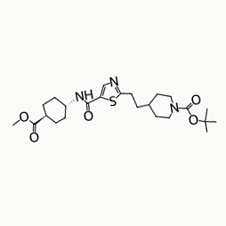 COC(=O)[C@H]1CC[C@H](NC(=O)c2cnc(CCC3CCN(C(=O)OC(C)(C)C)CC3)s2)CC1